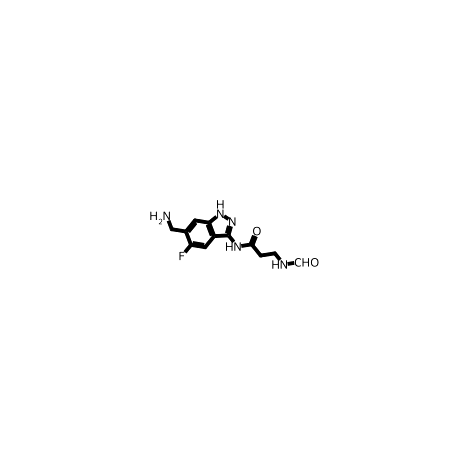 NCc1cc2[nH]nc(NC(=O)CCNC=O)c2cc1F